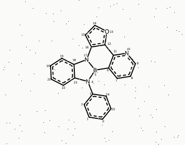 c1ccc(N2B3c4cccnc4-c4occc4N3c3ccccc32)cc1